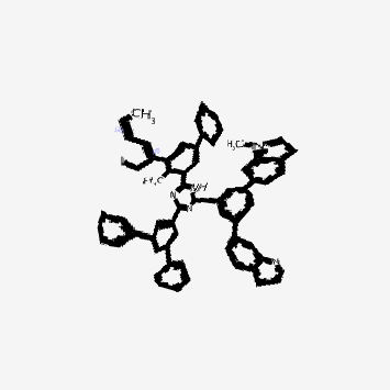 C/C=C\C=C(/CI)C1=CC(c2ccccc2)=CC(C2=NC(C3=CC(c4ccccc4)CC(c4ccccc4)=C3)=NC(c3cc(-c4ccc5cccnc5c4)cc(-c4ccc5ccn(C)c5c4)c3)N2)C1C